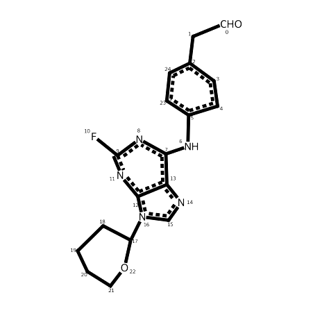 O=CCc1ccc(Nc2nc(F)nc3c2ncn3C2CCCCO2)cc1